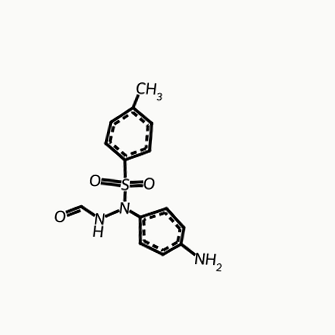 Cc1ccc(S(=O)(=O)N(NC=O)c2ccc(N)cc2)cc1